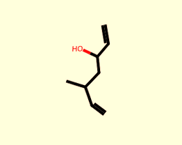 C=CC(C)CC(O)C=C